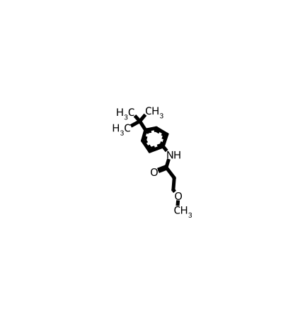 COCCC(=O)Nc1ccc(C(C)(C)C)cc1